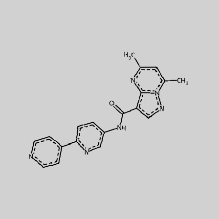 Cc1cc(C)n2ncc(C(=O)Nc3ccc(-c4ccncc4)nc3)c2n1